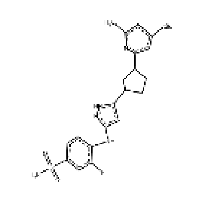 Cc1cc(C(C)(C)C)cc(C2CCC(c3cc(Nc4ccc(S(N)(=O)=O)cc4F)n[nH]3)C2)n1